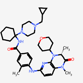 Cc1cc(C(=O)NC2(N3CCN(CC4CC4)CC3)CCCCC2)ccc1Nc1ccc2c(n1)N(C1CCOCC1)[C@H](C)C(=O)N2C